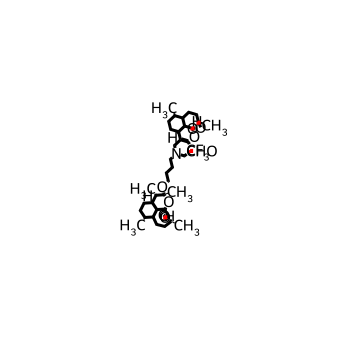 C[C@@H]1CC[C@H]2C(CN(CC=O)CCCCO[C@@]3(C)O[C@@H]4O[C@]5(C)CCC6[C@H](C)CC[C@@H]([C@H]3C)[C@]64OO5)=C(C(F)(F)F)O[C@@H]3O[C@]4(C)CCC1[C@]32O4